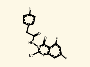 CCc1nc2cc(F)cc(F)c2c(=O)n1NC(=O)Cc1ccc(F)cc1